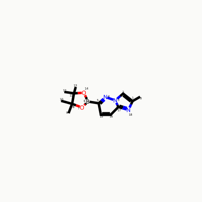 Cc1cn2nc(B3OC(C)(C)C(C)(C)O3)ccc2n1